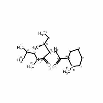 CC[C@H](C)[C@H](NC(=O)[C@H]1CCCCN1C)C(=O)N(C)CC(C)C